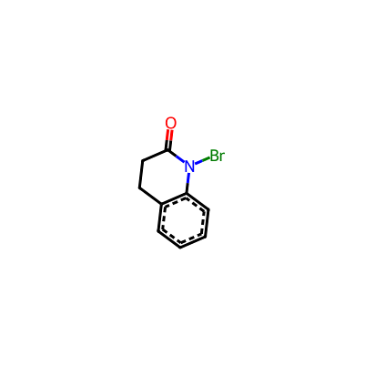 O=C1CCc2ccccc2N1Br